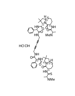 CNC(C)C(=O)N[C@H]1CCS[C@H]2CC(C)(C)[C@@H](C(=O)NC(C(=O)NCC#CC#CCNC(=O)[C@@H](NC(=O)[C@H]3N4C(=O)[C@@H](NC(=S)C(C)NC)CCS[C@H]4CC3(C)C)c3ccccc3)c3ccccc3)N2C1=O.Cl.Cl